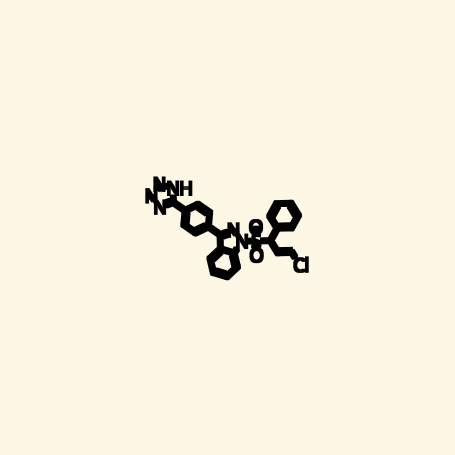 O=S(=O)(C(C=CCl)c1ccccc1)n1nc(-c2ccc(-c3nnn[nH]3)cc2)c2ccccc21